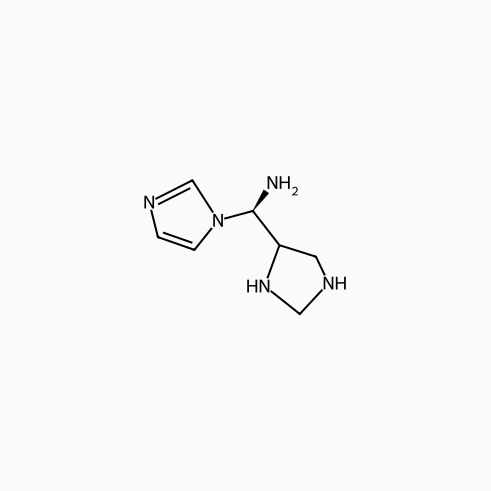 N[C@@H](C1CNCN1)n1ccnc1